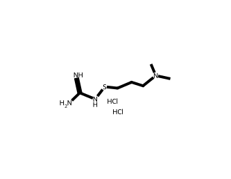 CN(C)CCCSNC(=N)N.Cl.Cl